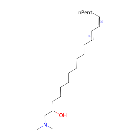 CCCCC/C=C\C=C\CCCCCCCCCC(O)CN(C)C